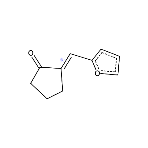 O=C1CCC/C1=C\c1ccco1